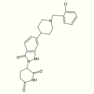 O=C1CCC(n2[nH]c3cc(C4CCN(Cc5ccccc5Cl)CC4)ccc3c2=O)C(=O)N1